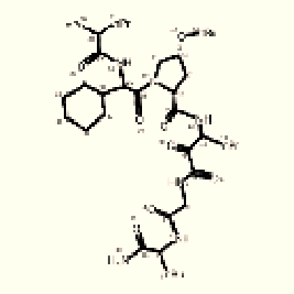 CCCCC(NC(=O)CNC(=O)C(=O)C(CCC)NC(=O)[C@@H]1C[C@@H](OC(C)(C)C)CN1C(=O)C(NC(=O)C(CCC)CCC)C1CCCCC1)C(N)=O